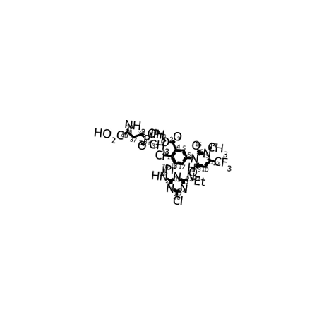 CC(C)OC(=O)c1cc(-n2c(=O)cc(C(F)(F)F)n(C)c2=O)ccc1Cl.CCNc1nc(Cl)nc(NC(C)C)n1.CP(=O)(O)CCC(N)C(=O)O